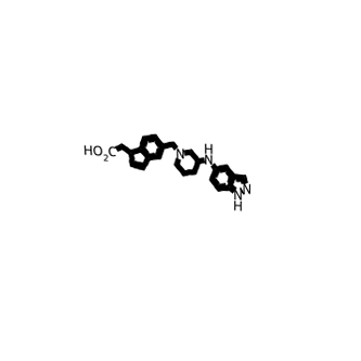 O=C(O)CC1C=Cc2cc(CN3CCCC(Nc4ccc5[nH]ncc5c4)C3)ccc21